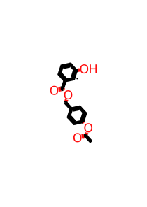 CC(=O)Oc1ccc(COC(=O)c2[c]c(O)ccc2)cc1